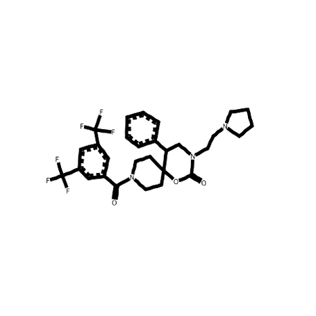 O=C1OC2(CCN(C(=O)c3cc(C(F)(F)F)cc(C(F)(F)F)c3)CC2)C(c2ccccc2)CN1CCN1CCCC1